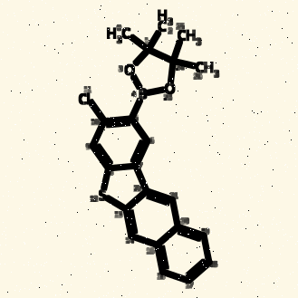 CC1(C)OB(c2cc3c(cc2Cl)sc2cc4ccccc4cc23)OC1(C)C